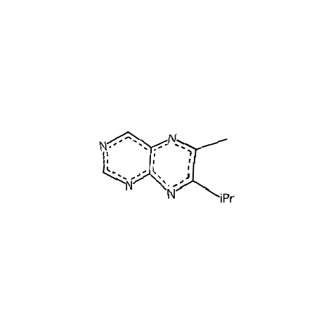 Cc1nc2cncnc2nc1C(C)C